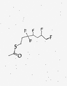 CC(=O)SCCC(F)(F)C(F)CC(F)CF